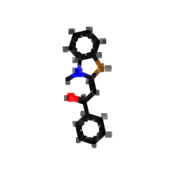 CN1/C(=C\C(=O)c2ccccc2)Sc2ccccc21